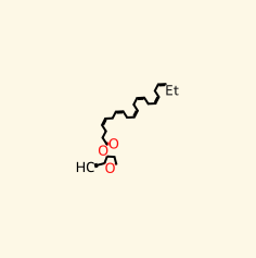 C#CC1OCCC1OC(=O)CC/C=C\C/C=C\C/C=C\C/C=C\C/C=C\C/C=C\CC